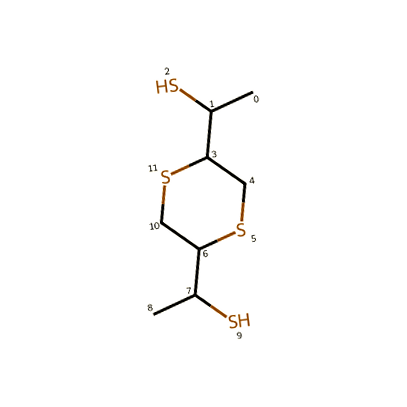 CC(S)C1CSC(C(C)S)CS1